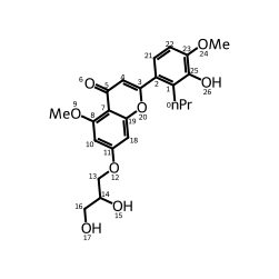 CCCc1c(-c2cc(=O)c3c(OC)cc(OCC(O)CO)cc3o2)ccc(OC)c1O